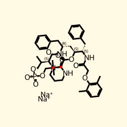 Cc1cccc(C)c1OCC(=O)N[C@@H](Cc1ccccc1)[C@H](C[C@@H](Cc1ccccc1)NC(=O)[C@H](C(C)C)N1CCCNC1=O)OC(=O)CC(C)(C)COP(=O)([O-])[O-].[Na+].[Na+]